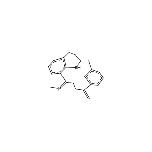 C=C(CC/C(=P/C)c1cccc2c1BCCC2)c1cccc(C)c1